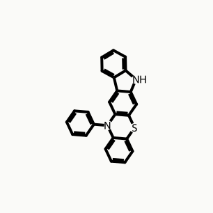 c1ccc(N2c3ccccc3Sc3cc4[nH]c5ccccc5c4cc32)cc1